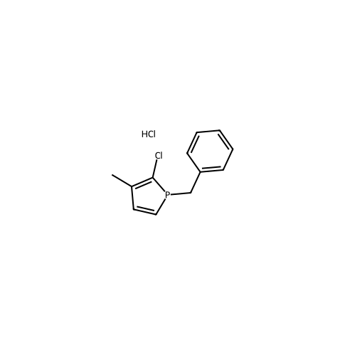 Cc1ccp(Cc2ccccc2)c1Cl.Cl